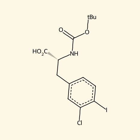 CC(C)(C)OC(=O)N[C@H](Cc1ccc(I)c(Cl)c1)C(=O)O